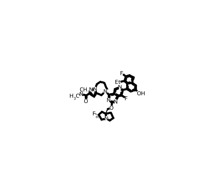 CCc1c(F)ccc2cc(O)cc(-c3ncc4c(N5CCCCn6nc(C(=O)N(C)C)cc6C5)nc(OC[C@@]56CCCN5C[C@H](F)C6)nc4c3F)c12